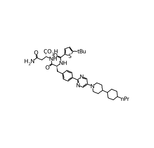 CCCC1CCC(C2CCN(c3cnc(-c4ccc(C[C@H](NC(=O)c5ccc(C(C)(C)C)s5)C(=O)N[C@H](CC(N)=O)C(=O)O)cc4)nc3)CC2)CC1